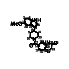 COc1ccc2[nH]cc(C3CCN(C(=O)c4ccc5c(c4)NC(=O)CO5)CC3)c2c1